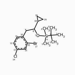 CC(C)(C)[Si](C)(C)OC(Cc1ccc(Cl)cc1Br)C1CC1